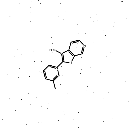 Cc1cccc(-c2oc3cnccc3c2N)n1